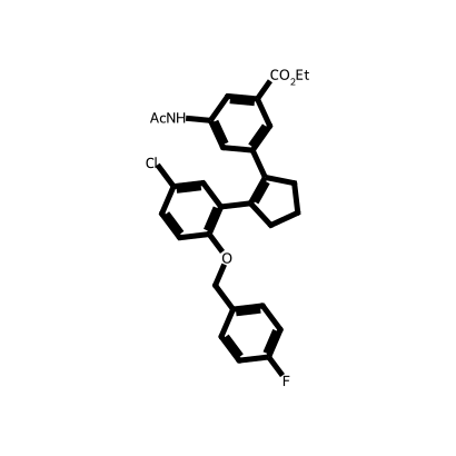 CCOC(=O)c1cc(NC(C)=O)cc(C2=C(c3cc(Cl)ccc3OCc3ccc(F)cc3)CCC2)c1